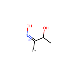 CC/C(=N/O)C(C)O